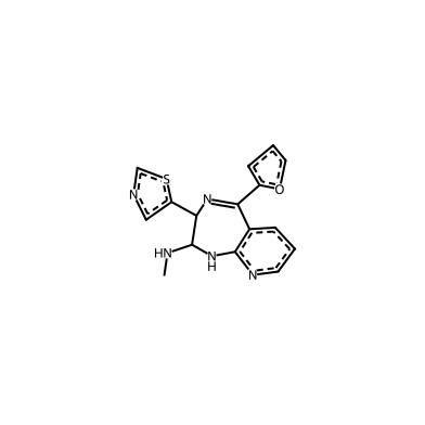 CNC1Nc2ncccc2C(c2ccco2)=NC1c1cncs1